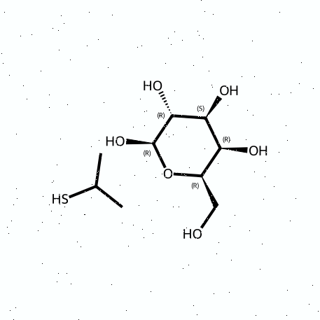 CC(C)S.OC[C@H]1O[C@@H](O)[C@H](O)[C@@H](O)[C@H]1O